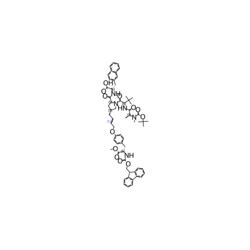 COC(=O)[C@H](Cc1ccc(OC/C=C/C[C@H]2C[C@@H](C(=O)N[C@@H](Cc3ccc4ccccc4c3)C(=O)O)N(C(=O)[C@@H](NC(=O)[C@H](C)N(C)C(=O)OC(C)(C)C)C(C)(C)C)C2)cc1)NC(=O)OCC1c2ccccc2-c2ccccc21